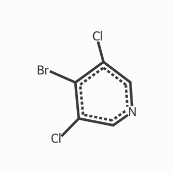 Clc1cncc(Cl)c1Br